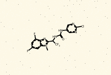 Cn1c(C(NC(=O)Nc2cnc(Cl)nc2)C(F)(F)F)nc2c(F)cc(F)cc21